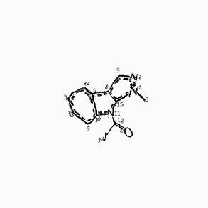 Cn1ncc2c3ccccc3n(C(=O)I)c21